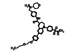 CCCCOCCOc1ccc(-c2ccc3c(c2)C=C(C(=O)Nc2ccc(CN(C)C4CCOCC4)cc2)CCN3c2ccc(S(=O)(=O)NC)cc2)cc1